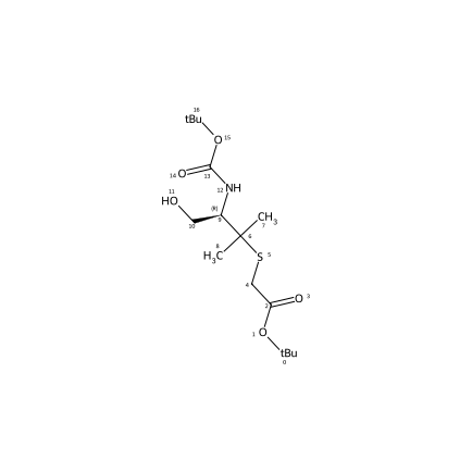 CC(C)(C)OC(=O)CSC(C)(C)[C@@H](CO)NC(=O)OC(C)(C)C